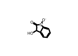 O=C1C(O)c2ccccc2[S+]1[O-]